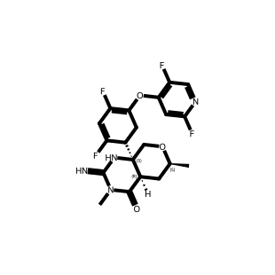 C[C@H]1C[C@H]2C(=O)N(C)C(=N)N[C@@]2(C2CC(Oc3cc(F)ncc3F)=C(F)C=C2F)CO1